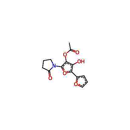 CC(=O)Oc1c(N2CCCC2=O)oc(-c2ccco2)c1O